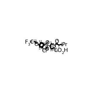 CC(C)CC(=O)N1C[C@H](S(=O)(=O)c2ccc(OCC(F)(F)F)cc2Cl)C[C@H]1C(=O)O